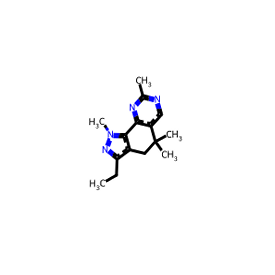 CCc1nn(C)c2c1CC(C)(C)c1cnc(C)nc1-2